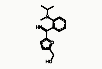 CC(C)N(C)c1ccccc1C(=N)c1ccc(CO)o1